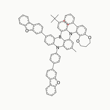 Cc1cc2c3c(c1)N(c1c(-c4ccccc4)ccc4c1OCCCO4)c1ccc(C(C)(C)C)cc1B3c1cc(-c3ccc4c(c3)oc3ccccc34)ccc1N2c1ccc(-c2ccc3c(c2)oc2ccccc23)cc1